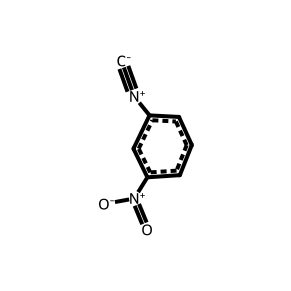 [C-]#[N+]c1cccc([N+](=O)[O-])c1